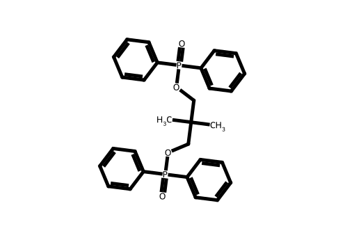 CC(C)(COP(=O)(c1ccccc1)c1ccccc1)COP(=O)(c1ccccc1)c1ccccc1